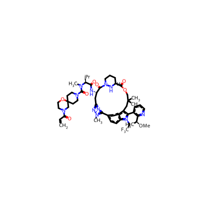 C=CC(=O)N1CCOC2(CCN(C(=O)N(C)[C@H](C(=O)N[C@H]3Cc4nc(n(C)n4)-c4ccc5c(c4)c(c(-c4cccnc4[C@H](C)OC)n5CC(F)(F)F)CC(C)(C)COC(=O)[C@@H]4CCCN(N4)C3=O)C(C)C)CC2)C1